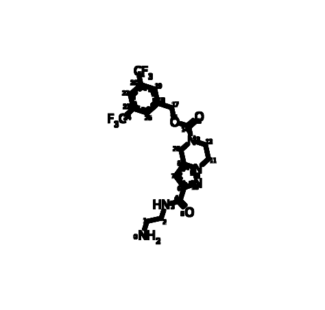 NCCNC(=O)c1cc2n(n1)CCN(C(=O)OCc1cc(C(F)(F)F)cc(C(F)(F)F)c1)C2